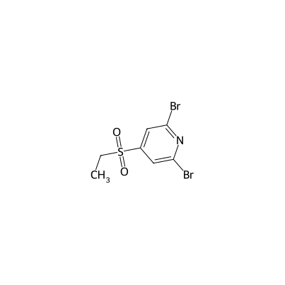 CCS(=O)(=O)c1cc(Br)nc(Br)c1